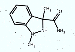 CN1NC(C)(C(N)=O)c2ccccc21